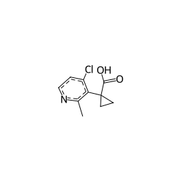 Cc1nccc(Cl)c1C1(C(=O)O)CC1